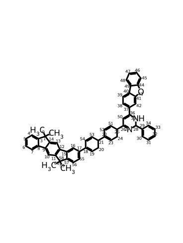 CC1(C)c2ccccc2-c2cc3c(cc21)-c1cc(C2=CCC(C4=CCC(C5=NC(c6ccccc6)NC(c6ccc7c(c6)oc6ccccc67)=C5)C=C4)C=C2)ccc1C3(C)C